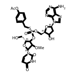 COC1C(OP(=O)(OC[C@H]2O[C@@H](n3cnc4c(N)ncnc43)CC2O)SCc2ccc(OC(C)=O)cc2)[C@@H](CO)O[C@H]1n1ccc(=O)[nH]c1=O